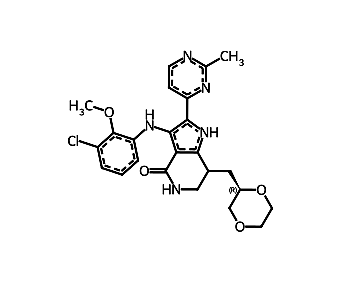 COc1c(Cl)cccc1Nc1c(-c2ccnc(C)n2)[nH]c2c1C(=O)NCC2C[C@@H]1COCCO1